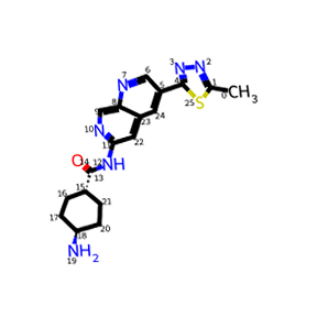 Cc1nnc(-c2cnc3cnc(NC(=O)[C@H]4CC[C@H](N)CC4)cc3c2)s1